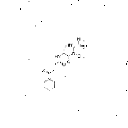 CC(C)C[C@@H](NC(=O)CCC(=O)N1CCCCC1)C(=O)N(C)CC(N)=O